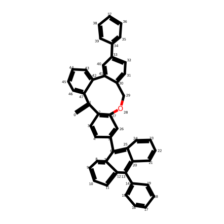 C=C1c2ccc(-c3c4ccccc4c(-c4ccccc4)c4ccccc34)cc2OCc2ccc(-c3ccccc3)cc2-c2ccccc21